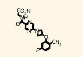 Cc1ccc(F)cc1OC1CN(c2cnc(C(=O)NCC(=O)O)cn2)C1